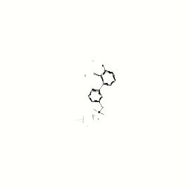 [CH2]C(C)(N)Cc1cccc(-c2cccc(Cl)c2Cl)c1